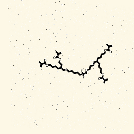 C=C(C)C(=O)OCCCCC(CCCCOCC(F)(F)CCCCCCCC(CCCCOC(=O)C(=C)C)CCOC(=O)C(=C)C)CCCCOC(=O)C(=C)C